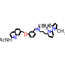 CC(=O)Nc1ccc2ccc(COc3cccc(CN(CCCc4cccc(-n5c(C)ccc5C)n4)C(=O)O)c3)cc2n1